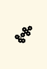 c1ccc(-c2c3ccccc3c(-c3ccc(-n4c5ccccc5c5ccc6ccccc6c54)cc3)c3ccccc23)cc1